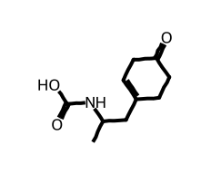 CC(CC1=CCC(=O)CC1)NC(=O)O